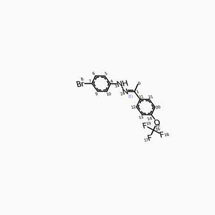 C/C(=N\Nc1ccc(Br)cc1)c1ccc(OC(F)(F)F)cc1